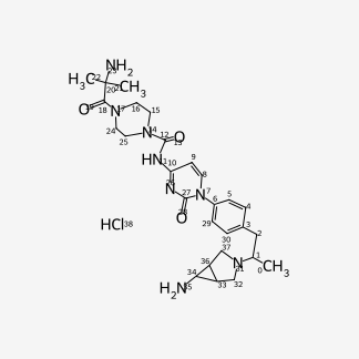 CC(Cc1ccc(-n2ccc(NC(=O)N3CCN(C(=O)C(C)(C)N)CC3)nc2=O)cc1)N1CC2C(N)C2C1.Cl